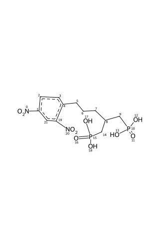 O=[N+]([O-])c1ccc(CCCC(CP(=O)(O)O)CP(=O)(O)O)c([N+](=O)[O-])c1